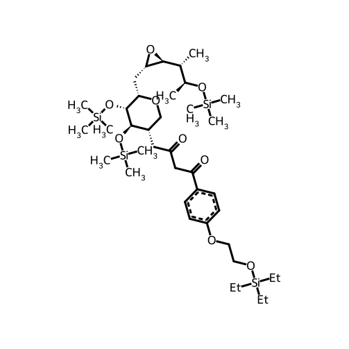 CC[Si](CC)(CC)OCCOc1ccc(C(=O)CC(=O)C[C@H]2CO[C@@H](C[C@@H]3O[C@H]3[C@H](C)[C@H](C)O[Si](C)(C)C)[C@@H](O[Si](C)(C)C)[C@@H]2O[Si](C)(C)C)cc1